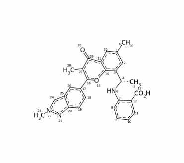 Cc1cc([C@H](C)Nc2ccccc2C(=O)O)c2oc(-c3ccc4nn(C)cc4c3)c(C)c(=O)c2c1